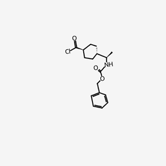 C[C@@H](NC(=O)OCc1ccccc1)[C@H]1CC[C@H](C(=O)Cl)CC1